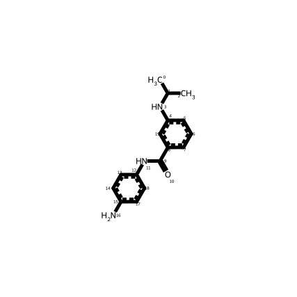 CC(C)Nc1cccc(C(=O)Nc2ccc(N)cc2)c1